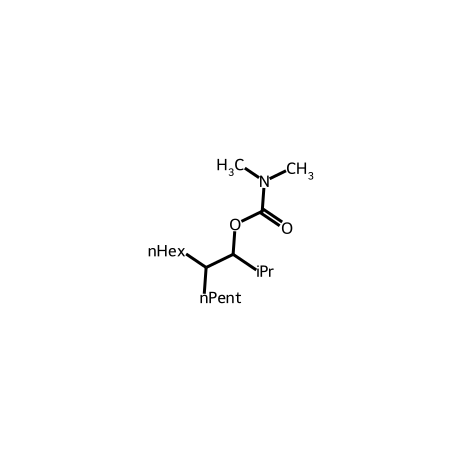 CCCCCCC(CCCCC)C(OC(=O)N(C)C)C(C)C